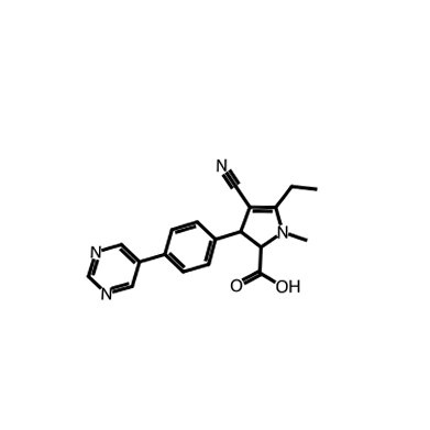 CCC1=C(C#N)C(c2ccc(-c3cncnc3)cc2)C(C(=O)O)N1C